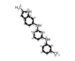 Cc1cc2ccc(Nc3nccc(Nc4cccc(C(F)(F)F)c4)n3)cc2[nH]1